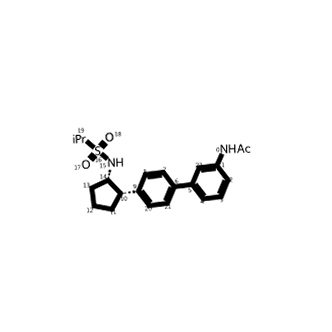 CC(=O)Nc1cccc(-c2ccc([C@@H]3CCC[C@@H]3NS(=O)(=O)C(C)C)cc2)c1